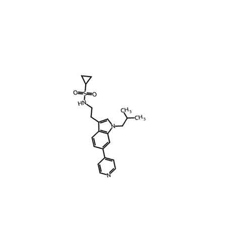 CC(C)Cn1cc(CCNS(=O)(=O)C2CC2)c2ccc(-c3ccncc3)cc21